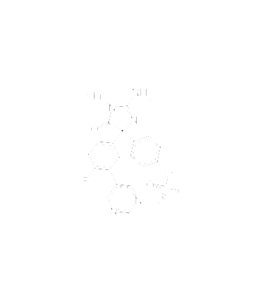 CCCN1C(=O)C(c2ccc(OS(C)(=O)=O)cc2)(c2ccc(F)c(-c3cncnc3)c2)N=C1N